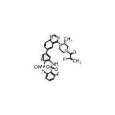 C=C(F)C(=O)N1CCN(c2ncnc3ccc(-c4cnc(OC)c(NS(=O)(=O)c5c(F)cccc5F)c4)cc23)[C@@H](C)C1